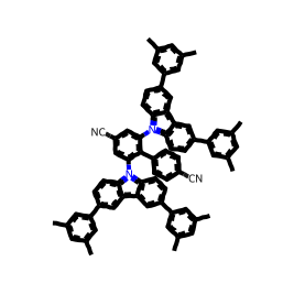 Cc1cc(C)cc(-c2ccc3c(c2)c2cc(-c4cc(C)cc(C)c4)ccc2n3-c2cc(C#N)cc(-n3c4ccc(-c5cc(C)cc(C)c5)cc4c4cc(-c5cc(C)cc(C)c5)ccc43)c2-c2ccc(C#N)cc2)c1